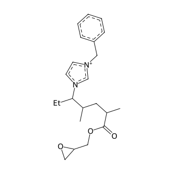 CCC(C(C)CC(C)C(=O)OCC1CO1)n1cc[n+](Cc2ccccc2)c1